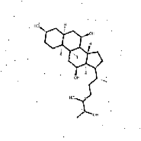 CC(O)C(O)CC[C@@H](C)[C@@H]1CC[C@H]2C3[C@H](O)C[C@@H]4C[C@H](O)CC[C@]4(C)[C@@H]3C[C@H](O)[C@@]21C